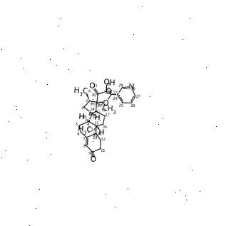 C[C@@H]1C[C@H]2[C@@H]3CCC4=CC(=O)CC[C@]4(C)[C@H]3CC[C@]2(C)[C@@]1(OC(=O)c1cccnc1)C(=O)CO